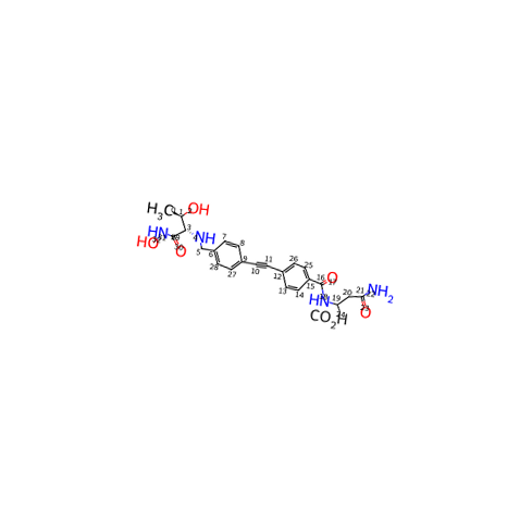 C[C@@H](O)[C@H](NCc1ccc(C#Cc2ccc(C(=O)NC(CC(N)=O)C(=O)O)cc2)cc1)C(=O)NO